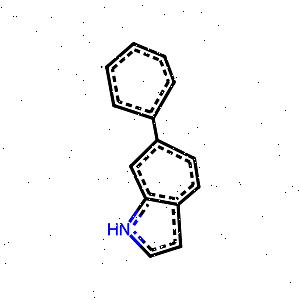 [c]1cccc(-c2ccc3cc[nH]c3c2)c1